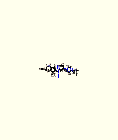 C#CC(=C)/C=C\C1=C(C)C(CC)C(Nc2cc(N3CCN(/C(=C/C)CC)CC3)ccn2)=C1C